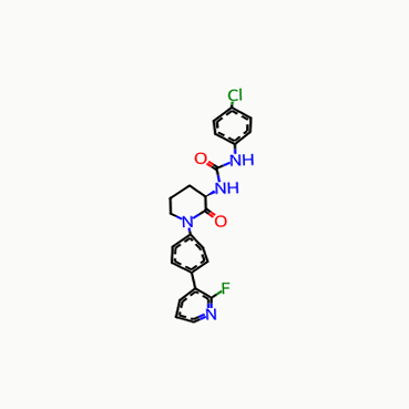 O=C(Nc1ccc(Cl)cc1)N[C@@H]1CCCN(c2ccc(-c3cccnc3F)cc2)C1=O